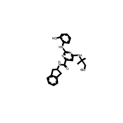 CC(C)(C)CC(C)(C)Nc1cc(C(=O)NC2Cc3ccccc3C2)nc(Nc2ccccc2O)n1